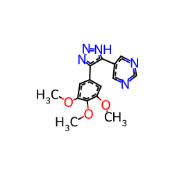 COc1cc(-c2nn[nH]c2-c2cncnc2)cc(OC)c1OC